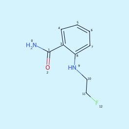 NC(=O)c1ccccc1NCCF